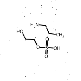 CCCN.O=S(=O)(O)OCCO